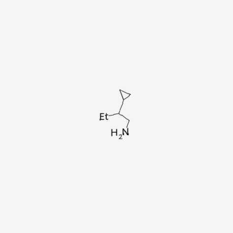 CCC(CN)C1CC1